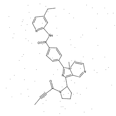 CC#CC(=O)N1CCCC1C1=C2C=NC=C[N+]2(C)C(c2ccc(C(=O)Nc3cc(CC)ccn3)cc2)=N1